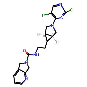 O=C(NCCC1[C@H]2CN(c3nc(Cl)ncc3F)C[C@@H]12)N1Cc2cccnc2C1